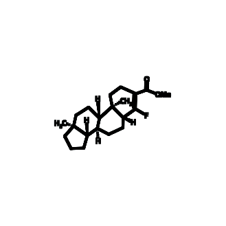 COC(=O)C1=C(F)[C@@H]2CC[C@H]3[C@@H]4CCC[C@@]4(C)CC[C@@H]3[C@@]2(C)CC1